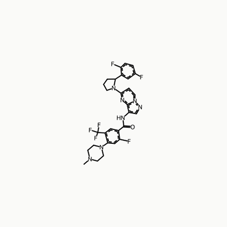 CN1CCN(c2cc(F)c(C(=O)Nc3cnn4ccc(N5CCCC5c5cc(F)ccc5F)nc34)cc2C(F)(F)F)CC1